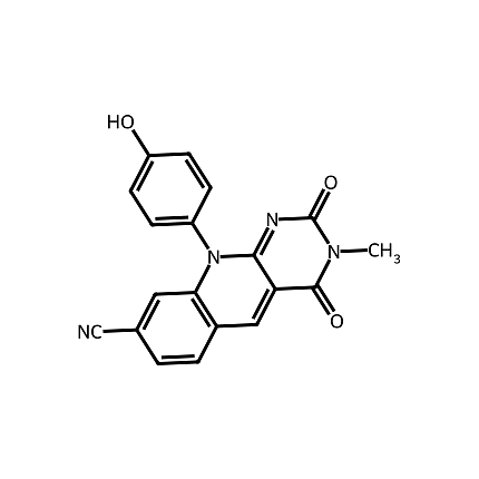 Cn1c(=O)nc2n(-c3ccc(O)cc3)c3cc(C#N)ccc3cc-2c1=O